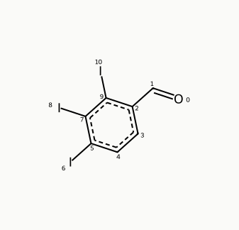 O=Cc1ccc(I)c(I)c1I